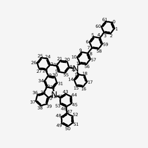 c1ccc(-c2ccc(-c3ccc(N(c4ccccc4)c4ccc(-c5ccccc5-c5ccc6c(c5)c5ccccc5n6-c5cccc(-c6ccccc6)c5)cc4)cc3)cc2)cc1